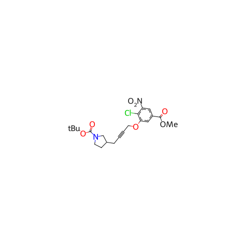 COC(=O)c1cc(OCC#CCC2CCN(C(=O)OC(C)(C)C)C2)c(Cl)c([N+](=O)[O-])c1